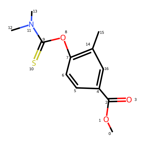 COC(=O)c1ccc(OC(=S)N(C)C)c(C)c1